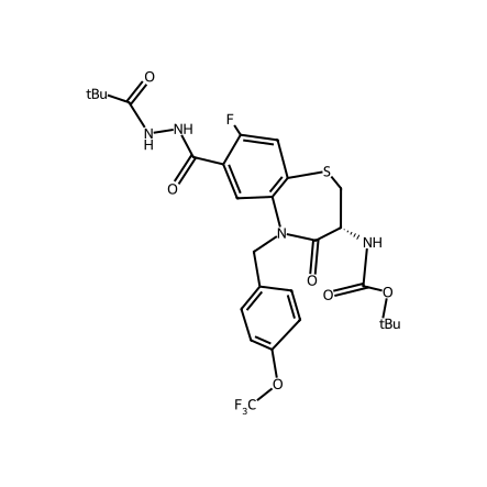 CC(C)(C)OC(=O)N[C@H]1CSc2cc(F)c(C(=O)NNC(=O)C(C)(C)C)cc2N(Cc2ccc(OC(F)(F)F)cc2)C1=O